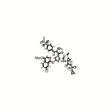 C=C[C@@H]1C[C@]1(NC(=O)[C@@H]1C[C@@H](Oc2ncc(OC)c3ccc(Cl)cc23)CN1C(=O)C(Nc1ccc(S(=O)(=O)N(C)C)cc1)C(C)(C)C)C(=O)NS(=O)(=O)C1CC1